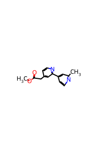 COC(=O)Cc1ccnc(-c2ccnc(C)c2)c1